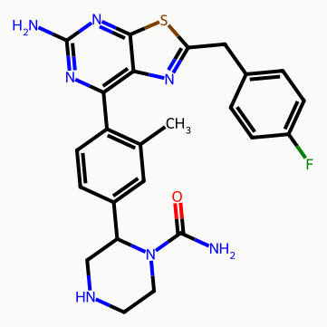 Cc1cc(C2CNCCN2C(N)=O)ccc1-c1nc(N)nc2sc(Cc3ccc(F)cc3)nc12